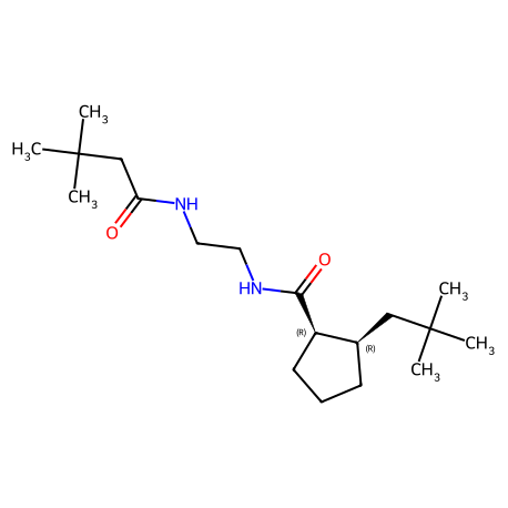 CC(C)(C)CC(=O)NCCNC(=O)[C@@H]1CCC[C@@H]1CC(C)(C)C